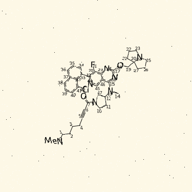 CNCCCCC#CC(=O)N1CCC(N(C)c2nc(OCC34CCCN3CCC4)nc3c(F)c(-c4cccc5cccc(Cl)c45)ncc23)C1